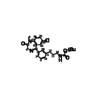 CN1C(=O)CN=C(c2cccc(CCCNC(=O)OC(C)(C)C)c2)c2cc(Cl)ccc21